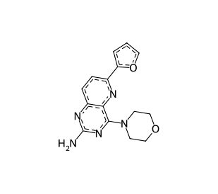 Nc1nc(N2CCOCC2)c2nc(-c3ccco3)ccc2n1